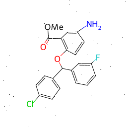 COC(=O)c1cc(N)ccc1OC(c1ccc(Cl)cc1)c1cccc(F)c1